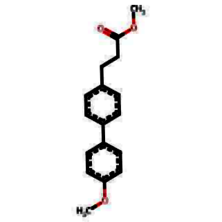 COC(=O)CCc1ccc(-c2ccc(OC)cc2)cc1